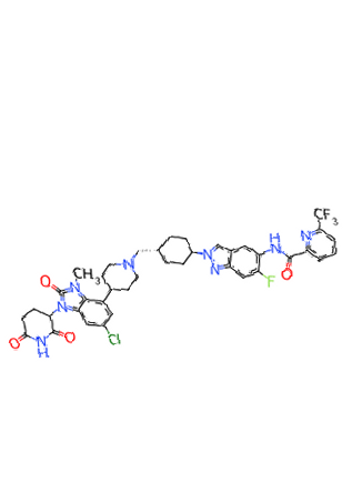 Cn1c(=O)n(C2CCC(=O)NC2=O)c2cc(Cl)cc(C3CCN(C[C@H]4CC[C@H](n5cc6cc(NC(=O)c7cccc(C(F)(F)F)n7)c(F)cc6n5)CC4)CC3)c21